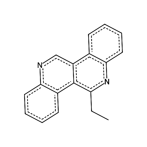 CCc1nc2ccccc2c2cnc3ccccc3c12